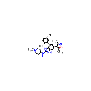 Cc1ccc(C#N)cc1-c1cc(-c2c(C)noc2C)cc2[nH]c(NC3CCN(C)CC3)nc12